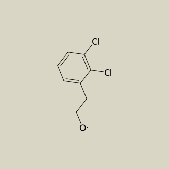 [O]CCc1cccc(Cl)c1Cl